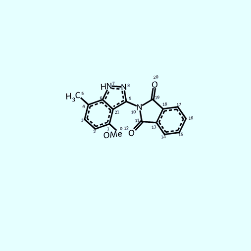 COc1ccc(C)c2[nH]nc(N3C(=O)c4ccccc4C3=O)c12